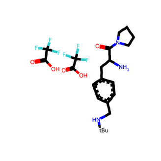 CC(C)(C)NCc1ccc(CC(N)C(=O)N2CCCC2)cc1.O=C(O)C(F)(F)F.O=C(O)C(F)(F)F